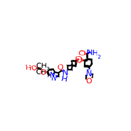 CC(C)(O)COc1ccc2c(C(=O)NC3CC4(C3)CC(Oc3cc(N5CCOCC5)ccc3C(N)=O)C4)cnn2c1